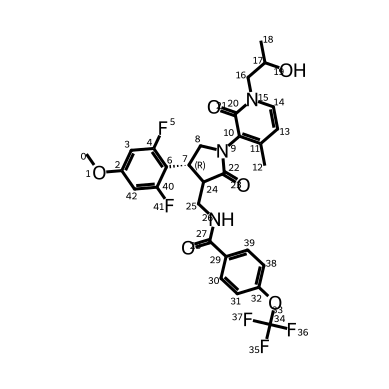 COc1cc(F)c([C@@H]2CN(c3c(C)ccn(CC(C)O)c3=O)C(=O)C2CNC(=O)c2ccc(OC(F)(F)F)cc2)c(F)c1